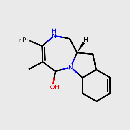 CCCC1=C(C)C(O)N2C3CCC=CC3C[C@H]2CN1